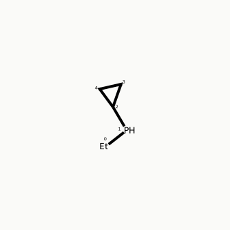 CCPC1CC1